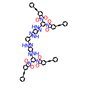 O=C1c2ccc(C#Cc3ccccc3)cc2C(=O)N1c1cc(-c2nc3cc4[nH]c(-c5cccc(-c6nc7cc8[nH]c(-c9cc(N%10C(=O)c%11ccc(C#Cc%12ccccc%12)cc%11C%10=O)cc(N%10C(=O)c%11ccc(C#Cc%12ccccc%12)cc%11C%10=O)c9)nc8cc7[nH]6)c5)nc4cc3[nH]2)cc(N2C(=O)c3ccc(C#Cc4ccccc4)cc3C2=O)c1